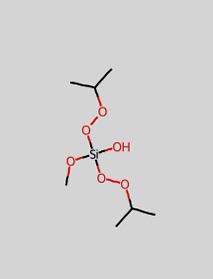 CO[Si](O)(OOC(C)C)OOC(C)C